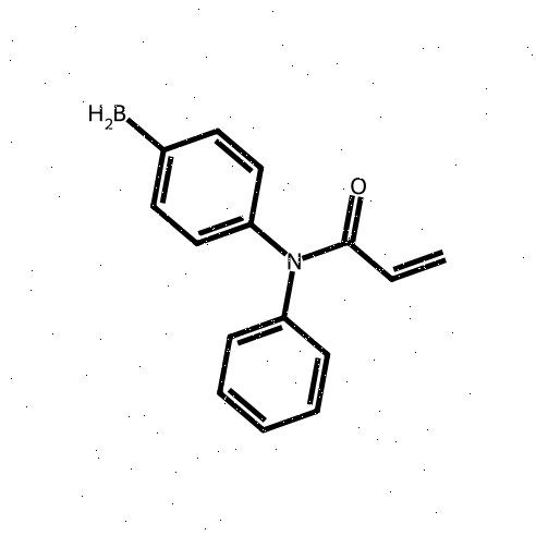 Bc1ccc(N(C(=O)C=C)c2ccccc2)cc1